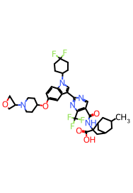 CC1CC2CC(C1)C(NC(=O)c1cnc(-c3cn(C4CCC(F)(F)CC4)c4ccc(OC5CCN(C6COC6)CC5)cc34)nc1C(F)(F)F)(C(=O)O)C2